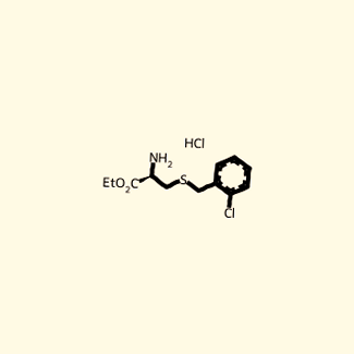 CCOC(=O)[C@@H](N)CSCc1ccccc1Cl.Cl